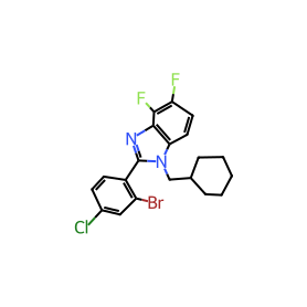 Fc1ccc2c(nc(-c3ccc(Cl)cc3Br)n2CC2CCCCC2)c1F